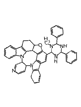 CN1C(c2ccccc2)NC(c2ccccc2)NC1c1cc2c3c(n4c2c2c1OC1CCc5c(n(c6ccccc56)C5C=NC=CC54)C21)CCC=C3